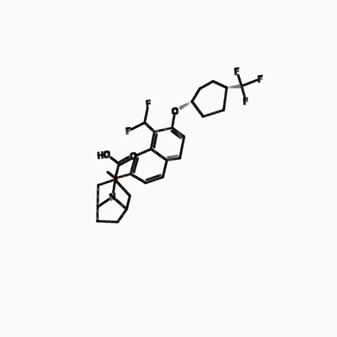 CC(c1ccc2ccc(O[C@H]3CC[C@@H](C(F)(F)F)CC3)c(C(F)F)c2c1)N1C2CCC1CC(C(=O)O)C2